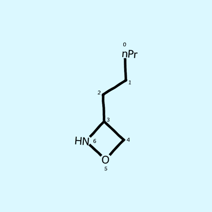 CCCCCC1CON1